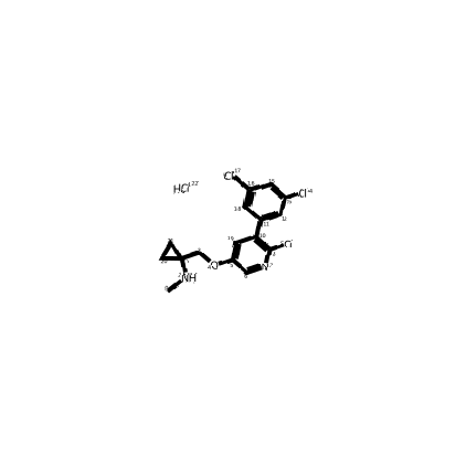 CNC1(COc2cnc(Cl)c(-c3cc(Cl)cc(Cl)c3)c2)CC1.Cl